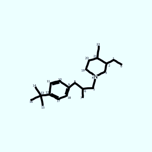 CCC1CN(CC(C)Cc2ccc(C(C)(C)C)cc2)CCC1C